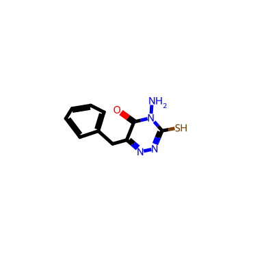 Nn1c(S)nnc(Cc2ccccc2)c1=O